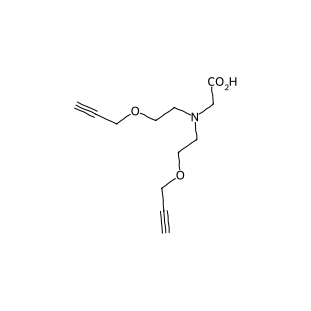 C#CCOCCN(CCOCC#C)CC(=O)O